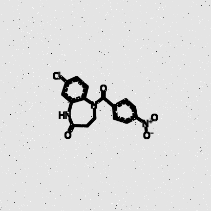 O=C1CCN(C(=O)c2ccc([N+](=O)[O-])cc2)c2ccc(Cl)cc2N1